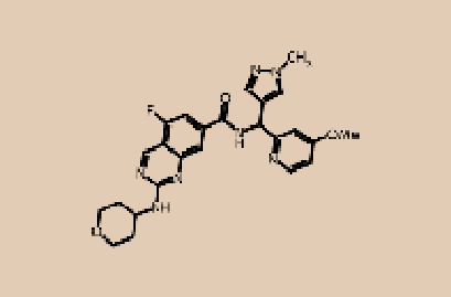 COc1ccnc(C(NC(=O)c2cc(F)c3cnc(NC4CCOCC4)nc3c2)c2cnn(C)c2)c1